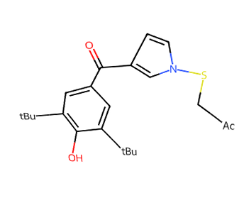 CC(=O)CSn1ccc(C(=O)c2cc(C(C)(C)C)c(O)c(C(C)(C)C)c2)c1